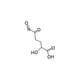 O=NC(=O)CCC(O)C(=O)O